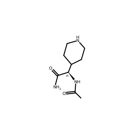 CC(=O)N[C@@H](C(N)=O)C1CCNCC1